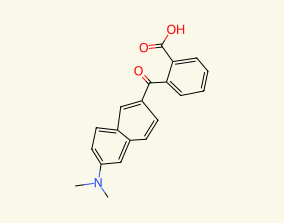 CN(C)c1ccc2cc(C(=O)c3ccccc3C(=O)O)ccc2c1